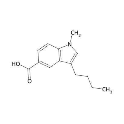 CCCCc1cn(C)c2ccc(C(=O)O)cc12